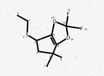 CCSC1CC(C)(C)C2=C1OC(F)(F)O2